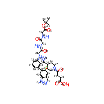 Cn1ncc2cc(F)c(-c3cccc4c3c(C3CCN(C(=O)CCC(=O)O)CC3)nn4CC(=O)NCC(=O)NCC(=O)OC(C)(C)C)cc21